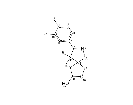 Cc1ccc(C2=NOC3(COC(O)C3)C2(C)C)cc1C